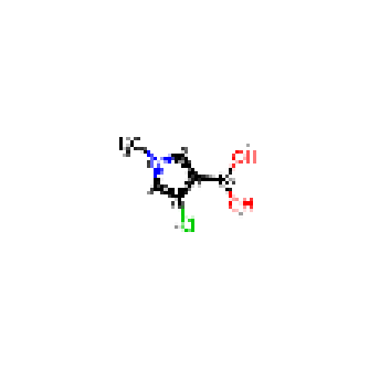 Cn1cc(Cl)c(B(O)O)c1